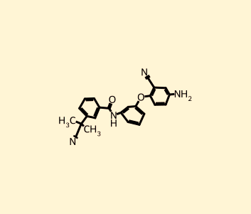 CC(C)(C#N)c1cccc(C(=O)Nc2cccc(Oc3ccc(N)cc3C#N)c2)c1